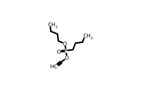 C#COP(=O)(CCCC)OCCCC